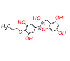 C=CCOc1c(O)cc([C@@H]2Oc3cc(O)cc(O)c3C[C@H]2O)cc1O